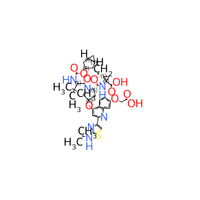 C=C[C@@H]1C[C@]1(NC(=O)[C@@H]1C[C@@H](Oc2cc(-c3csc(NC(C)C)n3)nc3cc(OCC(=O)O)ccc23)CN1C(=O)[C@@H](NC(=O)O[C@@H]1C[C@@H]2C[C@@H]2C1)C(C)(C)C)C(=O)O